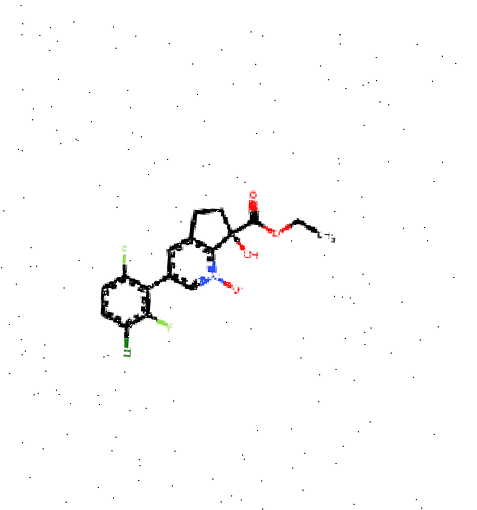 CCOC(=O)C1(O)CCc2cc(-c3c(F)ccc(Cl)c3F)c[n+]([O-])c21